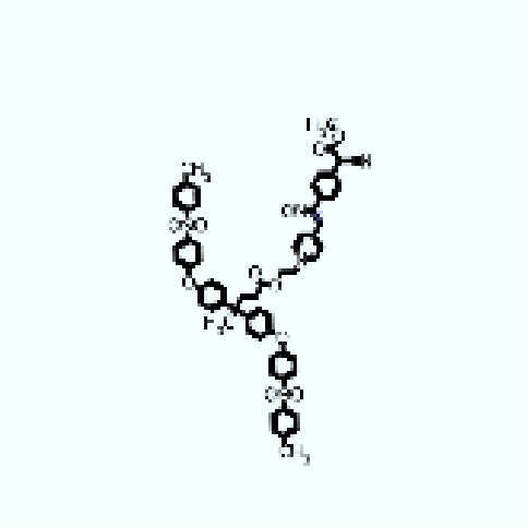 [C-]#[N+]/C(=C\c1cc[n+](CCOC(=O)CCC(C)(c2ccc(Oc3ccc(S(=O)(=O)c4ccc(C)cc4)cc3)cc2)c2ccc(Oc3ccc(S(=O)(=O)c4ccc(C)cc4)cc3)cc2)cc1)c1ccc(C(C#N)C(=O)OC)cc1